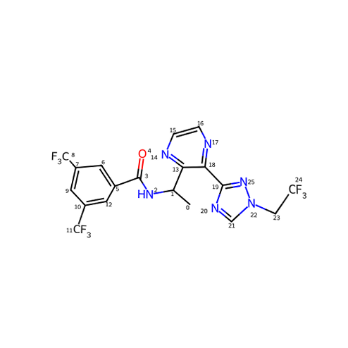 CC(NC(=O)c1cc(C(F)(F)F)cc(C(F)(F)F)c1)c1nccnc1-c1ncn(CC(F)(F)F)n1